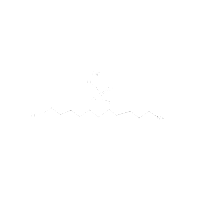 CCCCCCCCCCC[CH2][Na].F.O=S(=O)(O)O